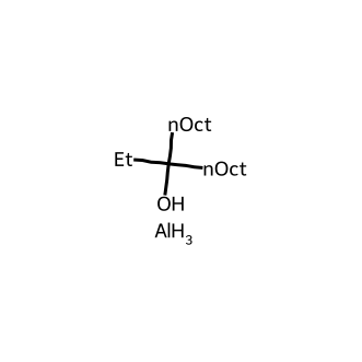 CCCCCCCCC(O)(CC)CCCCCCCC.[AlH3]